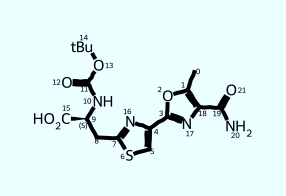 Cc1oc(-c2csc(C[C@H](NC(=O)OC(C)(C)C)C(=O)O)n2)nc1C(N)=O